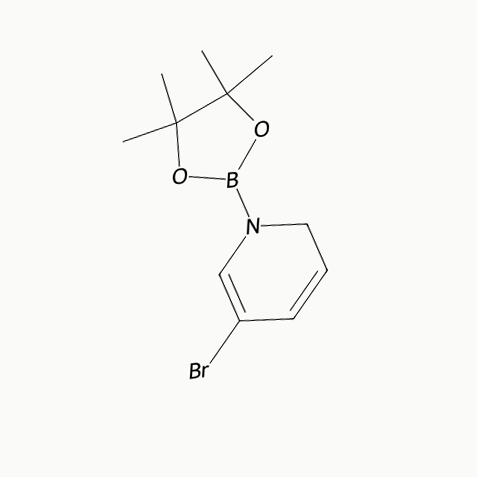 CC1(C)OB(N2C=C(Br)C=CC2)OC1(C)C